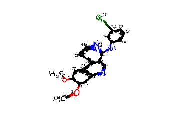 COc1cc2ncc3c(Nc4cccc(Br)c4)nccc3c2cc1OC